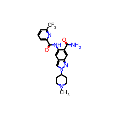 CN1CCC(n2cc3cc(NC(=O)c4cccc(C(F)(F)F)n4)c(C(N)=O)cc3n2)CC1